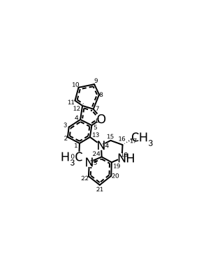 Cc1ccc2c(oc3ccccc32)c1N1C[C@H](C)Nc2cccnc21